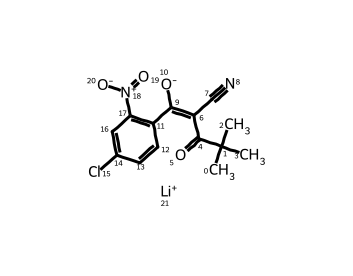 CC(C)(C)C(=O)C(C#N)=C([O-])c1ccc(Cl)cc1[N+](=O)[O-].[Li+]